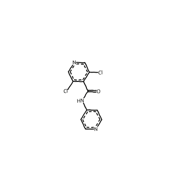 O=C(Nc1ccncc1)c1c(Cl)cncc1Cl